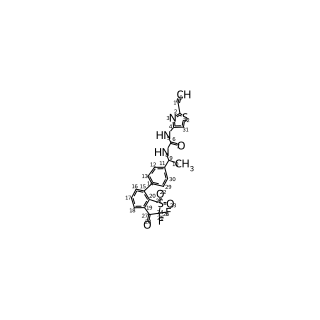 C#Cc1nc(NC(=O)NC(C)c2ccc(-c3cccc4c3S(=O)(=O)C(F)(F)C4=O)cc2)cs1